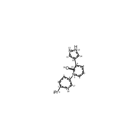 CC(C)c1ccc(-n2cccc(-c3cn[nH]c3)c2=O)cn1